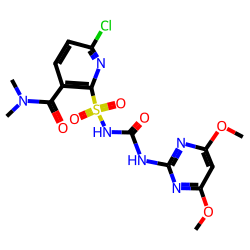 COc1cc(OC)nc(NC(=O)NS(=O)(=O)c2nc(Cl)ccc2C(=O)N(C)C)n1